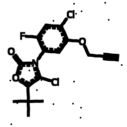 C#CCOc1cc(-n2c(Cl)c(C(C)(C)C)oc2=O)c(F)cc1Cl